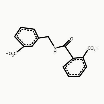 O=C(O)c1cccc(CNC(=O)c2ccccc2C(=O)O)c1